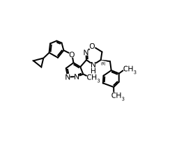 Cc1ccc(C[C@@H]2CON=C(c3c(Oc4cccc(C5CC5)c4)cnnc3C)N2)c(C)c1